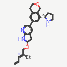 C=C/C=C(\CC)COC1Cc2cc(-c3cc4c(c([C@@H]5CCCN5)c3)COCC4)cnc2N1